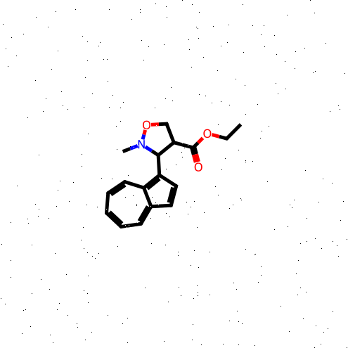 CCOC(=O)C1CON(C)C1c1ccc2cccccc1-2